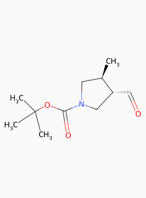 C[C@@H]1CN(C(=O)OC(C)(C)C)C[C@H]1C=O